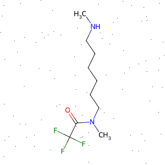 CNCCCCCCN(C)C(=O)C(F)(F)F